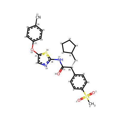 CS(=O)(=O)c1ccc([C@@H](CC2CCCC2)C(=O)Nc2ncc(Oc3ccc(C#N)cc3)s2)cc1